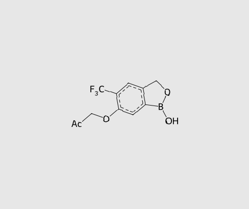 CC(=O)COc1cc2c(cc1C(F)(F)F)COB2O